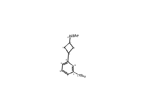 CNC1CC(c2cccc(C(C)(C)C)c2)C1